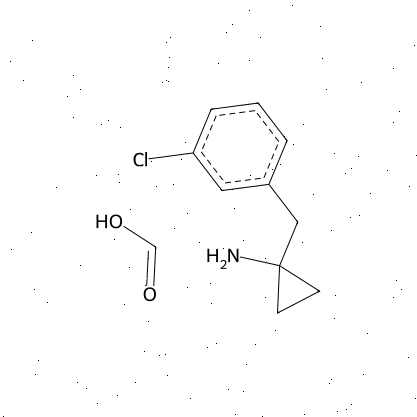 NC1(Cc2cccc(Cl)c2)CC1.O=CO